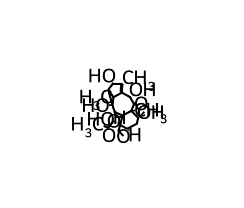 CC(=O)O[C@@]12CO[C@@H]1C[C@H](O)[C@@]1(C)C(=O)[C@H](O)C3=C(C)[C@@H](O)C4[C@@]3(C)[C@]4(O)[C@@H](O)[C@H]21